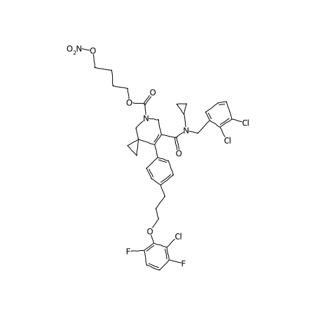 O=C(OCCCCO[N+](=O)[O-])N1CC(C(=O)N(Cc2cccc(Cl)c2Cl)C2CC2)=C(c2ccc(CCCOc3c(F)ccc(F)c3Cl)cc2)C2(CC2)C1